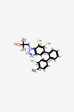 CCC(O)(CC)Cn1nnc2cc(-c3ccccc3-c3ccc(C#N)c(F)c3)c(F)c(F)c21